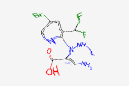 N/C=C(/C(=O)O)N(N)c1ncc(Br)cc1C(F)F